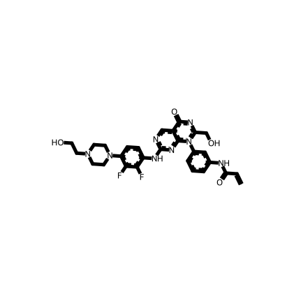 C=CC(=O)Nc1cccc(-n2c(CO)nc(=O)c3cnc(Nc4ccc(N5CCN(CCO)CC5)c(F)c4F)nc32)c1